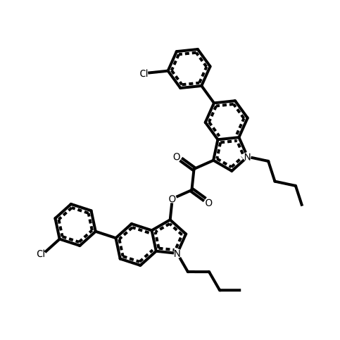 CCCCn1cc(OC(=O)C(=O)c2cn(CCCC)c3ccc(-c4cccc(Cl)c4)cc23)c2cc(-c3cccc(Cl)c3)ccc21